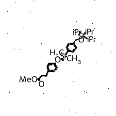 COC(=O)CCc1ccc(OC[Si](C)(C)c2ccc(CO[Si](C(C)C)(C(C)C)C(C)C)cc2)cc1